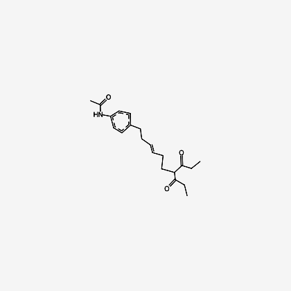 CCC(=O)C(CCC=CCCc1ccc(NC(C)=O)cc1)C(=O)CC